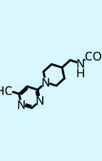 O=Cc1cc(N2CCC(CNC(=O)O)CC2)ncn1